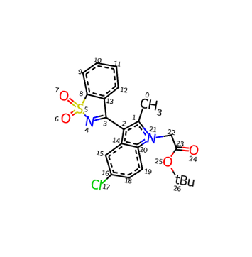 Cc1c(C2=NS(=O)(=O)c3ccccc32)c2cc(Cl)ccc2n1CC(=O)OC(C)(C)C